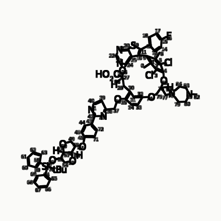 Cc1c(Cl)c2c(Cl)c(C)c1-c1c(-c3ccc(F)cc3)sc3ncnc(c13)O[C@@H](C(=O)O)Cc1cc(ccc1OCc1ccnc(-c3ccc(O[C@H]4CO[C@@H]5[C@@H]4OC[C@H]5O[Si](c4ccccc4)(c4ccccc4)C(C)(C)C)cc3)n1)OC[C@@H](CN1CCN(C)CC1)O2